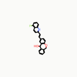 OC1c2ccccc2COc2ccc(/C=C/c3ccc4c(F)cccc4n3)cc21